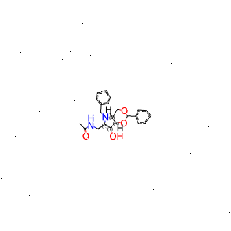 CC(=O)NC[C@@H]1[C@@H](O)[C@@H]2OC(c3ccccc3)OC[C@H]2N1Cc1ccccc1